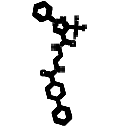 O=C(NCCNC(=O)C1CCC(c2ccccc2)CC1)c1cn(-c2ccccc2)nc1C(F)(F)F